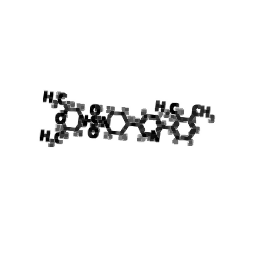 Cc1cccc(-c2ccc(C3CCN(S(=O)(=O)N4CC(C)OC(C)C4)CC3)cn2)c1C